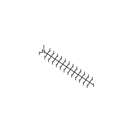 IN(I)C(I)(I)C(I)(I)C(I)(I)C(I)(I)C(I)(I)C(I)(I)C(I)(I)C(I)(I)C(I)(I)C(I)(I)C(I)(I)C(I)(I)I